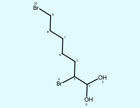 OC(O)C(Br)CCCCCBr